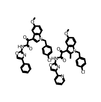 COc1ccc2c(c1)c(C(=O)C(=O)Nc1nc(-c3ccccc3)co1)cn2Cc1ccc(Cl)cc1.COc1ccc2c(c1)c(C(=O)C(=O)Nc1nc(-c3ccccn3)co1)c(C)n2Cc1ccc(Cl)cc1